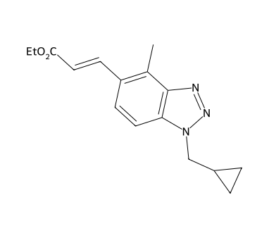 CCOC(=O)/C=C/c1ccc2c(nnn2CC2CC2)c1C